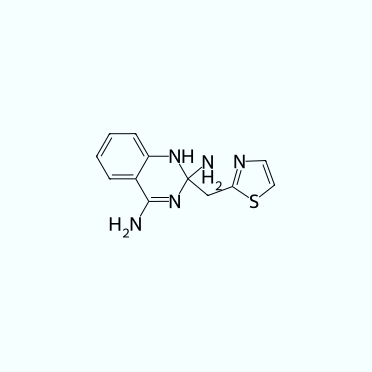 NC1=NC(N)(Cc2nccs2)Nc2ccccc21